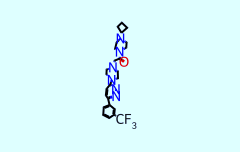 O=C(CN1CCN(c2ccc(-c3cccc(C(F)(F)F)c3)nn2)CC1)N1CCN(C2CCC2)CC1